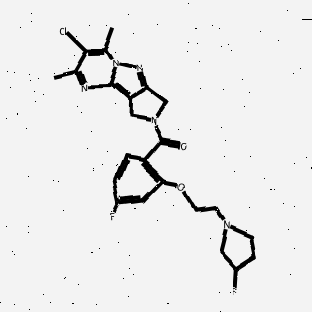 Cc1nc2c3c(nn2c(C)c1Cl)CN(C(=O)c1ccc(F)cc1OCCN1CCC(F)C1)C3